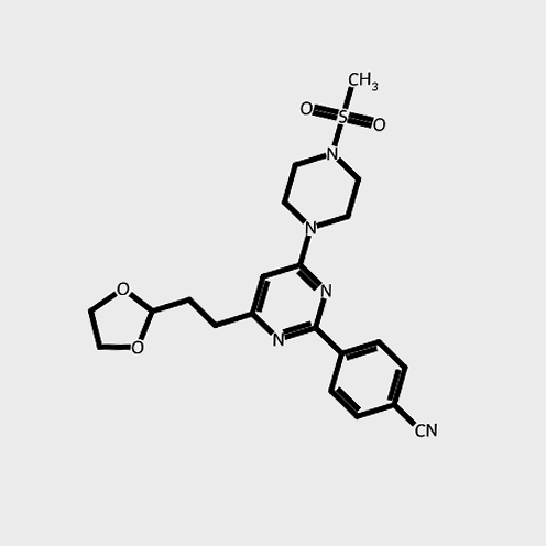 CS(=O)(=O)N1CCN(c2cc(CCC3OCCO3)nc(-c3ccc(C#N)cc3)n2)CC1